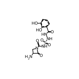 NC1CN(C(=O)NS(=O)(=O)NNC(=O)c2cccc(O)c2O)C1=O